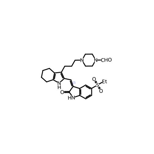 CCS(=O)(=O)c1ccc2c(c1)/C(=C/c1[nH]c3c(c1CCCN1CCN(C=O)CC1)CCCC3)C(=O)N2